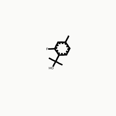 Cc1ccc(C(C)(C)O)c(F)c1